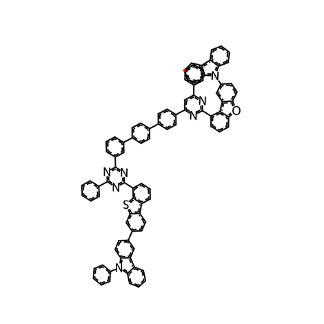 c1ccc(-c2cc(-c3ccc(-c4ccc(-c5cccc(-c6nc(-c7ccccc7)nc(-c7cccc8c7sc7cc(-c9ccc%10c(c9)c9ccccc9n%10-c9ccccc9)ccc78)n6)c5)cc4)cc3)nc(-c3cccc4oc5ccc(-n6c7ccccc7c7ccccc76)cc5c34)n2)cc1